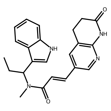 CCC(c1c[nH]c2ccccc12)N(C)C(=O)C=Cc1cnc2c(c1)CCC(=O)N2